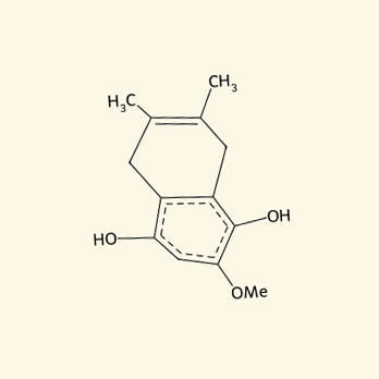 COc1cc(O)c2c(c1O)CC(C)=C(C)C2